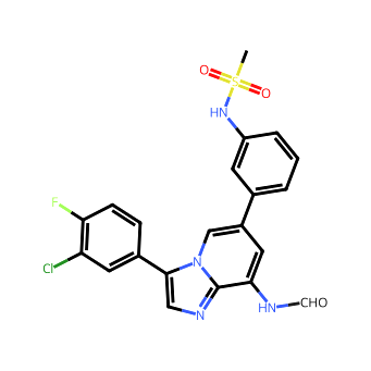 CS(=O)(=O)Nc1cccc(-c2cc(NC=O)c3ncc(-c4ccc(F)c(Cl)c4)n3c2)c1